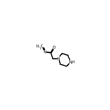 C=NC(=O)CN1CCNCC1